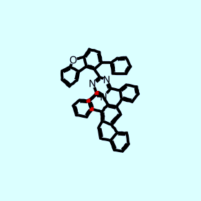 c1ccc(-c2nc(-c3ccccc3-c3cc4c5ccccc5ccc4c4ccccc34)nc(-c3c(-c4ccccc4)ccc4oc5ccccc5c34)n2)cc1